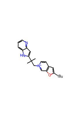 CC(C)(C)c1cc2cc[n+](CC(C)(C)c3cc4ncccc4[nH]3)cc2o1